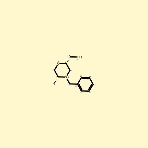 C[C@@H]1CO[C@H](CO)CN1Cc1ccccc1